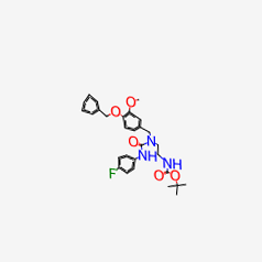 COc1cc(CN(CCNC(=O)OC(C)(C)C)C(=O)Nc2ccc(F)cc2)ccc1OCc1ccccc1